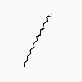 CCCCC=CCCCC=CC=CCCC=O